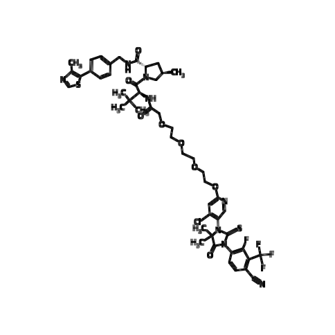 Cc1ncsc1-c1ccc(CNC(=O)[C@@H]2C[C@@H](C)CN2C(=O)[C@@H](NC(=O)COCCOCCOCCOc2cc(Cl)c(N3C(=S)N(c4ccc(C#N)c(C(F)(F)F)c4F)C(=O)C3(C)C)cn2)C(C)(C)C)cc1